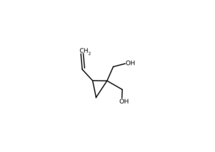 C=CC1CC1(CO)CO